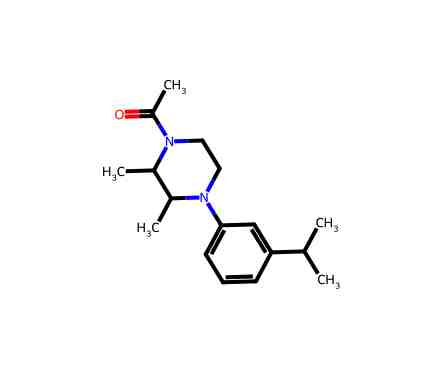 CC(=O)N1CCN(c2cccc(C(C)C)c2)C(C)C1C